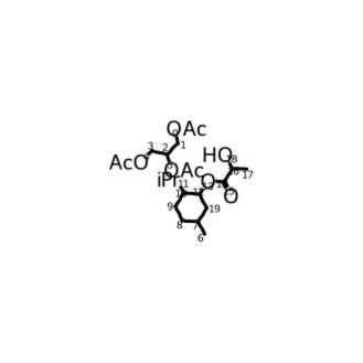 CC(=O)OCC(COC(C)=O)OC(C)=O.CC1CCC(C(C)C)C(OC(=O)C(C)O)C1